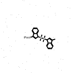 CCCC(C)C1=CC([Si](C)(C)[Si](C)(C)C2C=C(C)c3ccccc32)c2ccccc21